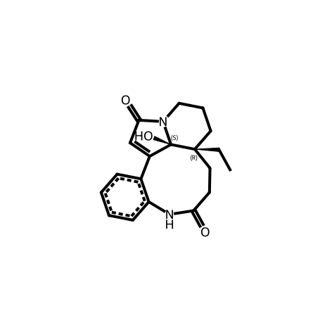 CC[C@@]12CCCN3C(=O)C=C(c4ccccc4NC(=O)CC1)[C@]32O